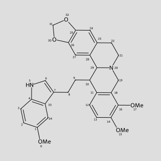 COc1ccc2[nH]cc(CCC3c4ccc(OC)c(OC)c4CN4CCc5cc6c(cc5C34)OCO6)c2c1